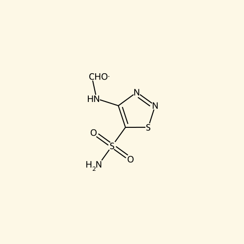 NS(=O)(=O)c1snnc1N[C]=O